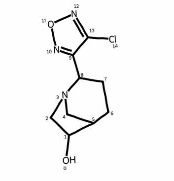 OC1CN2CC1CCC2c1nonc1Cl